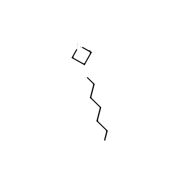 C1CNC1.CCCCCCC.Cl